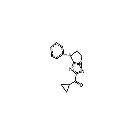 O=C(c1nc2n(n1)CC[C@H]2c1ccccc1)C1CC1